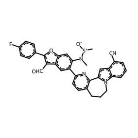 CN(c1cc2oc(-c3ccc(F)cc3)c(C=O)c2cc1-c1ccc2c(n1)-c1cc3c(C#N)cccc3n1CCC2)[S+](C)[O-]